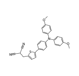 COc1ccc(N(c2ccc(OC)cc2)c2ccc(-c3ccc(CC(C#N)C#N)s3)cc2)cc1